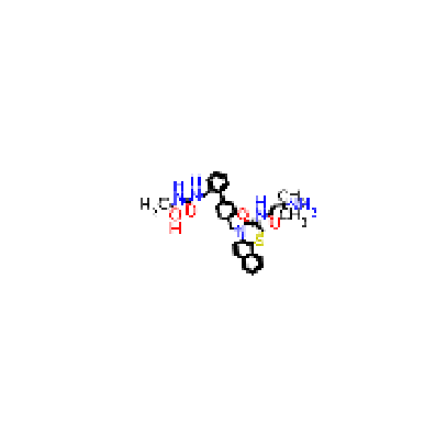 CC(O)NC(=O)NCc1ccccc1-c1ccc(CN2C(=O)[C@H](NC(=O)CC(C)(C)N)CSc3c2ccc2ccccc32)cc1